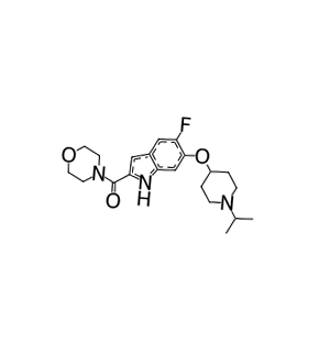 CC(C)N1CCC(Oc2cc3[nH]c(C(=O)N4CCOCC4)cc3cc2F)CC1